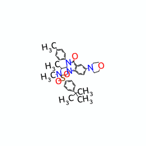 Cc1ccc(-n2c(C(C)N(C)S(=O)(=O)c3ccc(C(C)(C)C)cc3)nc3ccc(N4CCOCC4)cc3c2=O)cc1